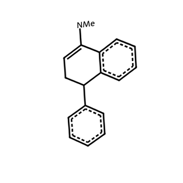 CNC1=CCC(c2ccccc2)c2ccccc21